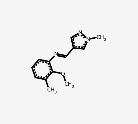 COc1c(C)cccc1N=Cc1cnn(C)c1